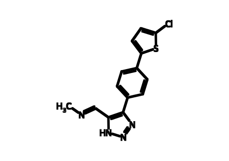 C/N=C/c1[nH]nnc1-c1ccc(-c2ccc(Cl)s2)cc1